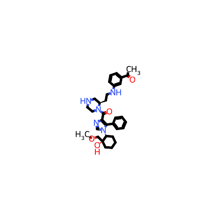 COC[C@]1(O)CCCC[C@H]1n1cnc(C(=O)N2CCNC[C@H]2CCNc2cccc(C(C)=O)c2)c1-c1ccccc1